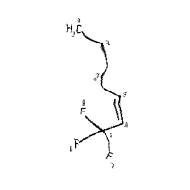 CCC/C=C\C(F)(F)F